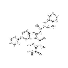 CC(C)C(C(=O)NN(Cc1ccc(-c2ccccn2)cc1)CC(O)C(Cc1ccccc1)NO)N1CCCNC1=O